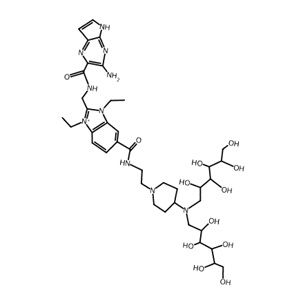 CCn1c(CNC(=O)c2nc3cc[nH]c3nc2N)[n+](CC)c2ccc(C(=O)NCCN3CCC(N(CC(O)C(O)C(O)C(O)CO)CC(O)C(O)C(O)C(O)CO)CC3)cc21